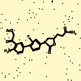 CC(=O)OCC(=O)c1cc(-c2ccc(N3CC(CCC(N)=O)OC3=O)cc2F)cnc1N